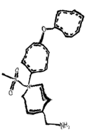 CS(=O)(=O)[N+]1(c2ccc(Oc3ccccc3)cc2)C=CC(CN)=CC1